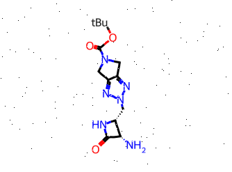 CC(C)(C)OC(=O)N1Cc2nn(C[C@H]3NC(=O)[C@H]3N)nc2C1